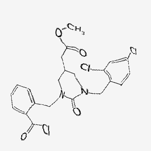 COC(=O)CC1CN(Cc2ccc(Cl)cc2Cl)C(=O)N(Cc2ccccc2C(=O)Cl)C1